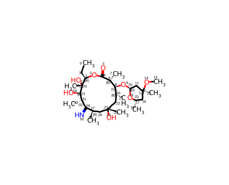 CC[C@H]1OC(=O)[C@H](C)[C@@H](O[C@H]2C[C@@](C)(OC)C[C@H](C)O2)[C@H](C)C[C@](C)(O)C[C@@H](C)C(=N)[C@H](C)[C@@H](O)[C@]1(C)O